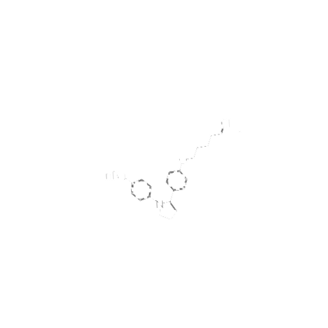 C=CCCCCOc1ccc(C2=CCCN2c2ccc(CCCC)cc2)cc1